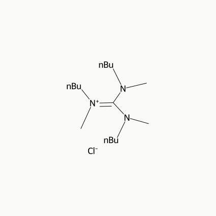 CCCCN(C)C(N(C)CCCC)=[N+](C)CCCC.[Cl-]